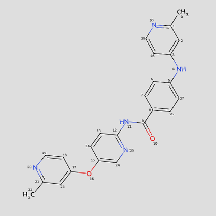 Cc1cc(Nc2ccc(C(=O)Nc3ccc(Oc4ccnc(C)c4)cn3)cc2)ccn1